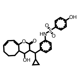 O=C1OC2=CC=CCCCC2C(O)C1C(c1cccc(NS(=O)(=O)c2ccc(O)cc2)c1)C1CC1